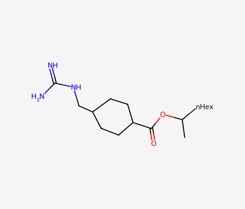 CCCCCCC(C)OC(=O)C1CCC(CNC(=N)N)CC1